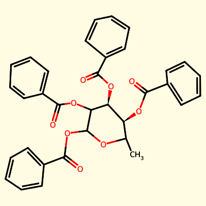 CC1OC(OC(=O)c2ccccc2)C(OC(=O)c2ccccc2)[C@@H](OC(=O)c2ccccc2)[C@H]1OC(=O)c1ccccc1